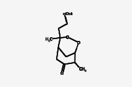 CCCCCCCCCCC1(C)OOC2CC1CC(=O)C2C